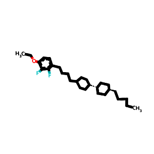 CCCCC[C@H]1CC[C@H](C2CCC(CCCCc3ccc(OCC)c(F)c3F)CC2)CC1